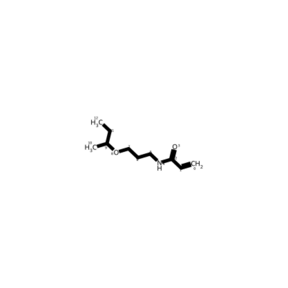 C=CC(=O)NCCCOC(C)CC